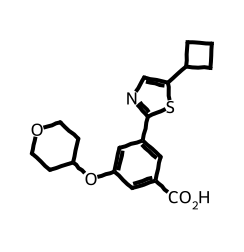 O=C(O)c1cc(OC2CCOCC2)cc(-c2ncc(C3CCC3)s2)c1